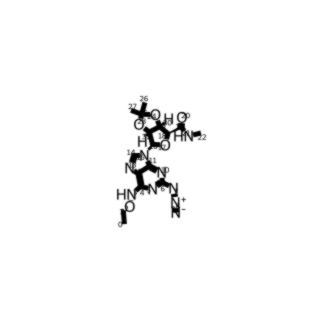 CCONc1nc(N=[N+]=[N-])nc2c1ncn2[C@@H]1O[C@H](C(=O)NC)[C@H]2OC(C)(C)O[C@H]21